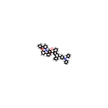 c1ccc(-c2ccccc2N(c2ccc3c(c2)Oc2cccc4c2c-3cc2c3ccccc3c(-c3ccc(N(c5ccccc5)c5ccccc5)cc3)cc42)c2cccc3c2oc2ccccc23)cc1